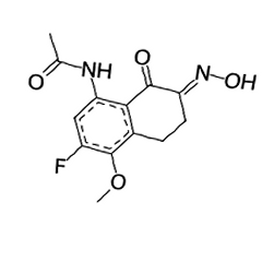 COc1c(F)cc(NC(C)=O)c2c1CCC(=NO)C2=O